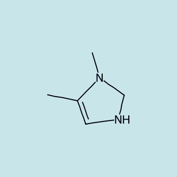 CC1=CNCN1C